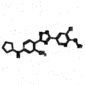 Cc1cc(NC2CCCC2)ccc1-c1noc(-c2cnc(OC(C)C)c(Cl)c2)n1